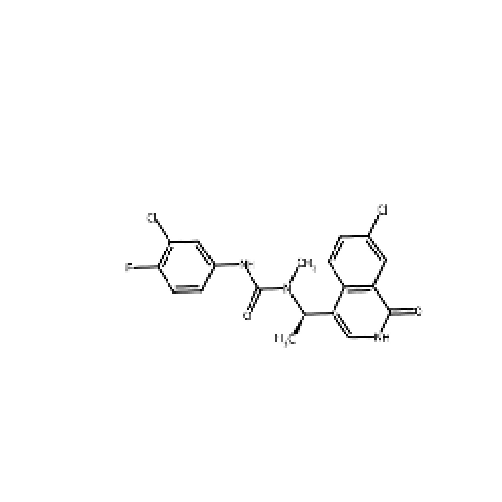 C[C@H](c1c[nH]c(=O)c2cc(Cl)ccc12)N(C)C(=O)Nc1ccc(F)c(Cl)c1